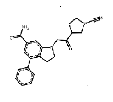 N#CN1CCC(C(=O)CN2CCc3c(-c4ccccc4)cc(C(N)=O)cc32)C1